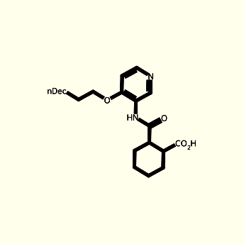 CCCCCCCCCCCCOc1ccncc1NC(=O)C1CCCCC1C(=O)O